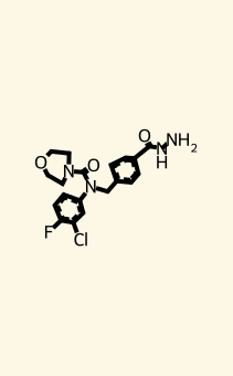 NNC(=O)c1ccc(CN(C(=O)N2CCOCC2)c2ccc(F)c(Cl)c2)cc1